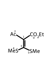 CCOC(=O)C(C(C)=O)=C(SC)SC